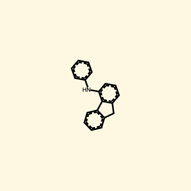 c1ccc(Nc2cccc3c2-c2ccccc2C3)cc1